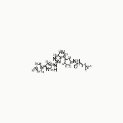 CN(C)C/C=C/C(=O)Nc1cccc(-c2cncc3cnc(Nc4ccc(N5CCN(C)CC5)nc4)nc23)c1